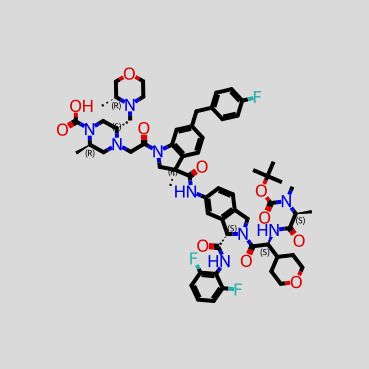 C[C@@H]1COCCN1C[C@H]1CN(C(=O)O)[C@H](C)CN1CC(=O)N1C[C@](C)(C(=O)Nc2ccc3c(c2)[C@@H](C(=O)Nc2c(F)cccc2F)N(C(=O)[C@@H](NC(=O)[C@H](C)N(C)C(=O)OC(C)(C)C)C2CCOCC2)C3)c2ccc(Cc3ccc(F)cc3)cc21